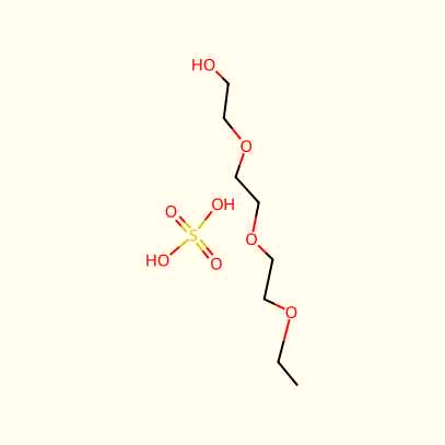 CCOCCOCCOCCO.O=S(=O)(O)O